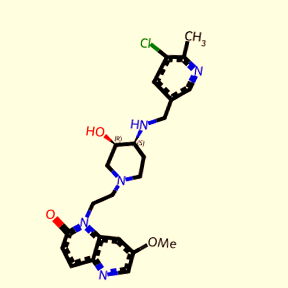 COc1cnc2ccc(=O)n(CCN3CC[C@H](NCc4cnc(C)c(Cl)c4)[C@H](O)C3)c2c1